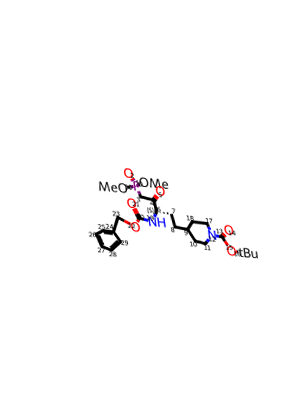 COP(=O)(CC(=O)[C@H](CCC1CCN(C(=O)OC(C)(C)C)CC1)NC(=O)OCc1ccccc1)OC